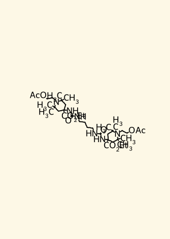 CCOC(=O)C1(NC(=O)NCCCCNC(=O)NC2(C(=O)OCC)CC(C)(C)N(CCOC(C)=O)C(C)(C)C2)CC(C)(C)N(CCOC(C)=O)C(C)(C)C1